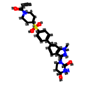 COC(=O)N1CCC(S(=O)(=O)c2ccc(-c3ccc4c(N5CCC(=O)NC5=O)nn(C)c4c3)cc2)CC1